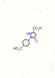 O=C(O)c1ccc(-n2[nH]c(C(=O)O)cc2=O)cc1